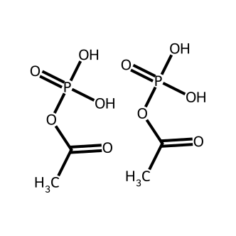 CC(=O)OP(=O)(O)O.CC(=O)OP(=O)(O)O